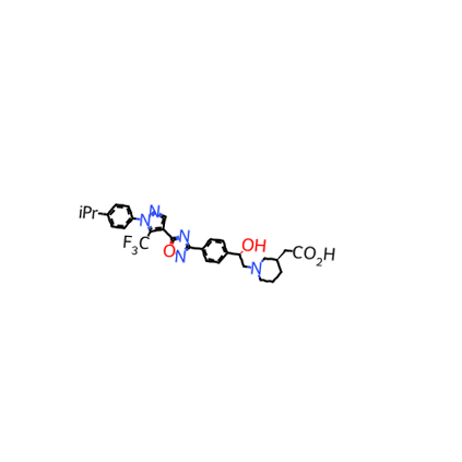 CC(C)c1ccc(-n2ncc(-c3nc(-c4ccc([C@H](O)CN5CCC[C@H](CC(=O)O)C5)cc4)no3)c2C(F)(F)F)cc1